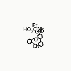 CC(C)C(NS(=O)(=O)c1ccc(-c2ccccc2)c(OCc2ccccc2CC#N)c1)C(=O)O